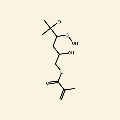 C=C(C)C(=O)OCC(O)CC(OO)C(C)(C)CC